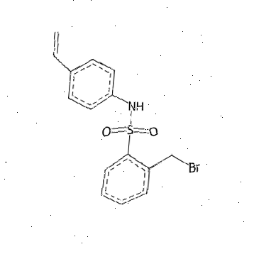 C=Cc1ccc(NS(=O)(=O)c2ccccc2CBr)cc1